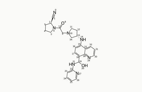 N#C[C@@H]1CCCN1C(=O)CN1CC[C@H](Nc2ccc(C(O)Nc3ccccn3)c3ncccc23)C1